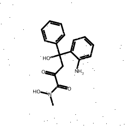 CN(O)C(=O)C(=O)CC(O)(c1ccccc1)c1ccccc1N